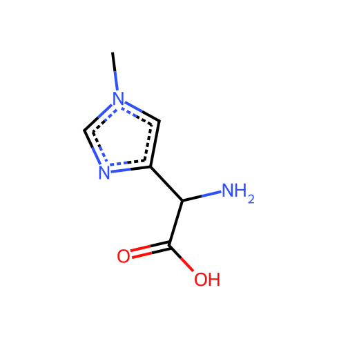 Cn1cnc(C(N)C(=O)O)c1